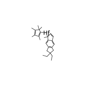 CCC1(CC)Cc2cc3c(cc2C1)[C](C)([Hf][C]1=C(C)C(C)=C(C)C1(C)C)C=C3